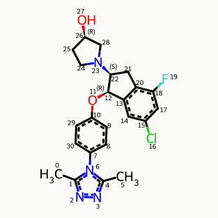 Cc1nnc(C)n1-c1ccc(O[C@@H]2c3cc(Cl)cc(F)c3C[C@@H]2N2CC[C@@H](O)C2)cc1